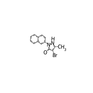 Cc1[nH]n(-c2ccc3ccccc3c2)c(=O)c1Br